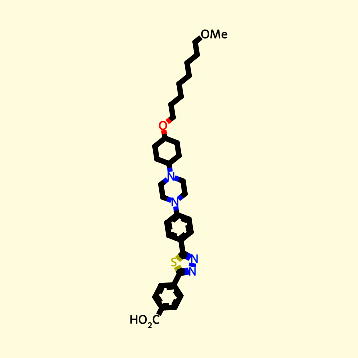 COCCCCCCCCOC1CCC(N2CCN(c3ccc(-c4nnc(-c5ccc(C(=O)O)cc5)s4)cc3)CC2)CC1